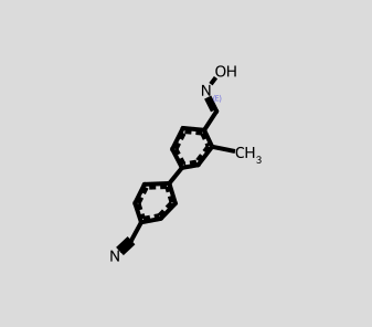 Cc1cc(-c2ccc(C#N)cc2)ccc1/C=N/O